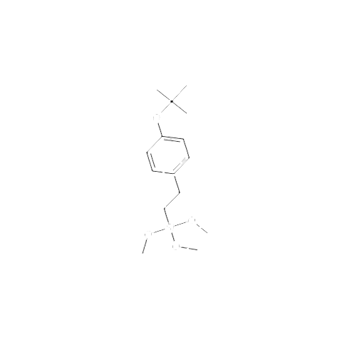 CO[Si](CCc1ccc(OC(C)(C)C)cc1)(OC)OC